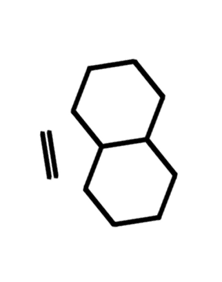 C1CCC2CCCCC2C1.C=C